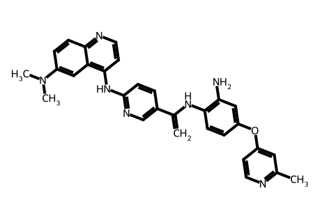 C=C(Nc1ccc(Oc2ccnc(C)c2)cc1N)c1ccc(Nc2ccnc3ccc(N(C)C)cc23)nc1